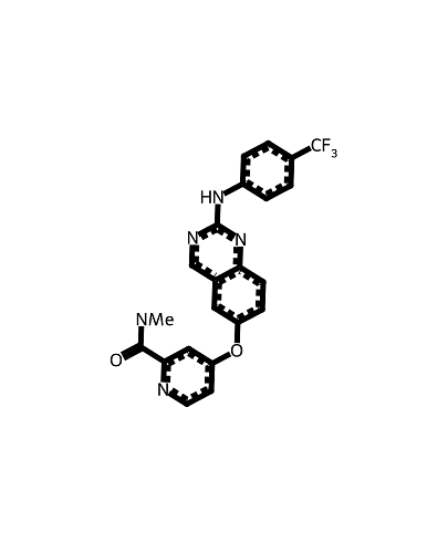 CNC(=O)c1cc(Oc2ccc3nc(Nc4ccc(C(F)(F)F)cc4)ncc3c2)ccn1